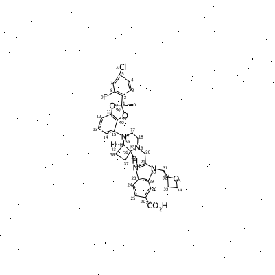 C[C@]1(c2ccc(Cl)cc2F)Oc2cccc(N3CCN(Cc4nc5ccc(C(=O)O)cc5n4C[C@@H]4CCO4)[C@@H]4CC[C@H]43)c2O1